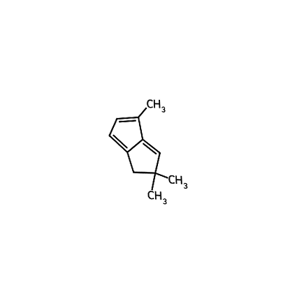 CC1=CC=C2CC(C)(C)C=C12